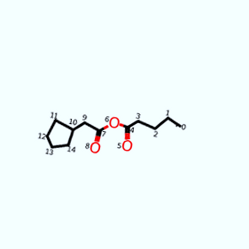 [CH2]CCCC(=O)OC(=O)CC1CCCC1